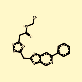 N#CCNC(=O)Cc1nnc(Cc2nc3cnc(-c4ccccc4)cc3s2)o1